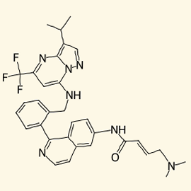 CC(C)c1cnn2c(NCc3ccccc3-c3nccc4cc(NC(=O)/C=C/CN(C)C)ccc34)cc(C(F)(F)F)nc12